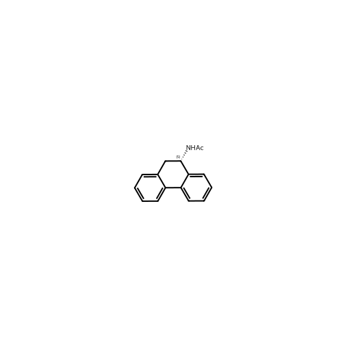 CC(=O)N[C@H]1Cc2ccccc2-c2ccccc21